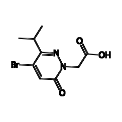 CC(C)c1nn(CC(=O)O)c(=O)cc1Br